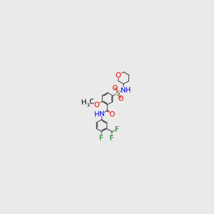 COc1ccc(S(=O)(=O)NC2CCCOC2)cc1C(=O)Nc1ccc(F)c(C(F)F)c1